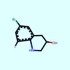 OC1CNc2c(I)cc(Br)cc2C1